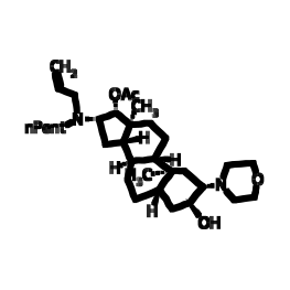 C=CCN(CCCCC)[C@H]1C[C@H]2[C@@H]3CC[C@H]4C[C@H](O)[C@@H](N5CCOCC5)C[C@]4(C)[C@H]3CC[C@]2(C)[C@H]1OC(C)=O